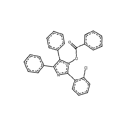 O=C(On1c(-c2ccccc2Cl)nc(-c2ccccc2)c1-c1ccccc1)c1ccccc1